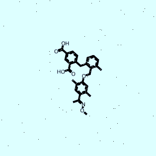 CON=C(C)c1cc(C)c(OCc2c(C)cccc2Cc2ccc(C(=O)O)cc2C(=O)O)cc1C